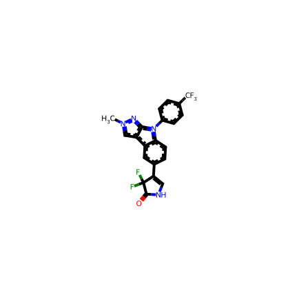 Cn1cc2c3cc(C4=CNC(=O)C4(F)F)ccc3n(-c3ccc(C(F)(F)F)cc3)c2n1